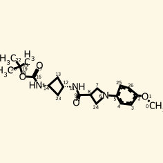 COc1ccc(N2CC(C(=O)N[C@H]3C[C@@H](NC(=O)OC(C)(C)C)C3)C2)cc1